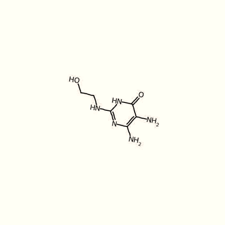 Nc1nc(NCCO)[nH]c(=O)c1N